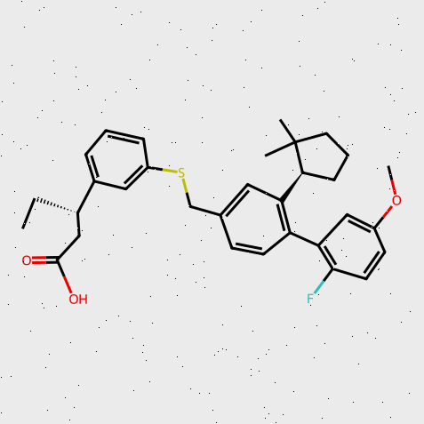 CC[C@@H](CC(=O)O)c1cccc(SCc2ccc(-c3cc(OC)ccc3F)c([C@@H]3CCCC3(C)C)c2)c1